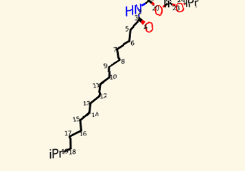 CCC(NC(=O)CCCCCCCCCCCCCCC(C)C)[O][Ti](=[O])[O]C(C)C